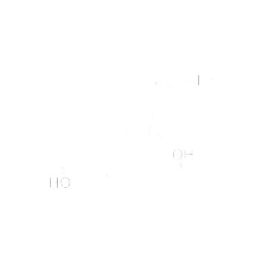 OCCC(O)CI